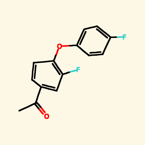 CC(=O)c1ccc(Oc2ccc(F)cc2)c(F)c1